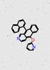 c1ccc(Oc2c3ccccc3c(-c3cccc4ccccc34)c3cnccc23)nc1